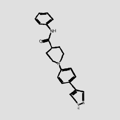 O=C(Nc1ccccc1)C1CCN(c2ccc(-c3cn[nH]c3)cc2)CC1